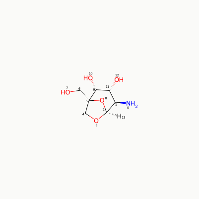 N[C@H]1[C@H]2OC[C@](CO)(O2)[C@H](O)[C@@H]1O